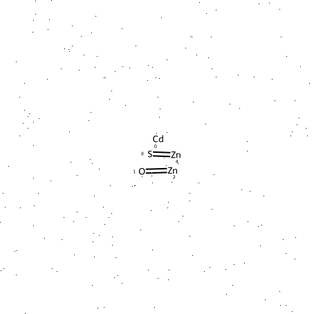 [Cd].[O]=[Zn].[S]=[Zn]